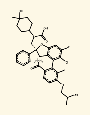 CC(O)COc1ccc(C(N)=O)c(-c2c(Cl)c(F)cc3c2[C@H](C)[C@@](CN(C(=O)O)C2CCC(C)(O)CC2)(c2ccccc2)O3)c1F